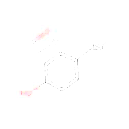 C=O.CC(C)(C)c1ccc(O)cc1.CC(C)=O